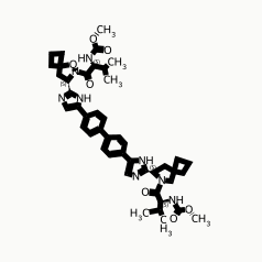 COC(=O)N[C@H](C(=O)N1CC2(CCC2)C[C@H]1c1ncc(-c2ccc(-c3ccc(-c4cnc([C@@H]5CC6(CCC6)ON5C(=O)[C@@H](NC(=O)OC)C(C)C)[nH]4)cc3)cc2)[nH]1)C(C)C